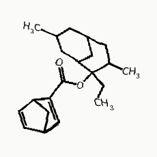 CCC1(OC(=O)C2=CC3C=CC2C3)C(C)CC2CC(C)CC1C2